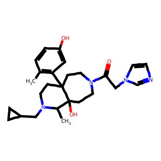 Cc1ccc(O)cc1C12CCN(C(=O)Cn3ccnc3)CCC1(O)C(C)N(CC1CC1)CC2